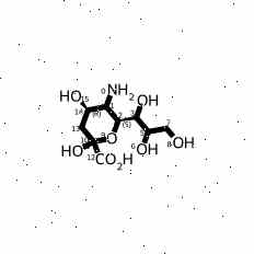 NC1[C@@H](C(O)C(O)CO)OC(O)(C(=O)O)C[C@H]1O